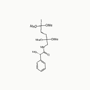 COC(C)(CCC(CNC(=O)C(O)c1ccccc1)(OC)OC)OC